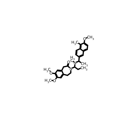 CCC(N1CCc2cc(OC)c(OC)cc2CC1=O)N(C)C(C)c1ccc2c(C)c(OC)ccc2c1